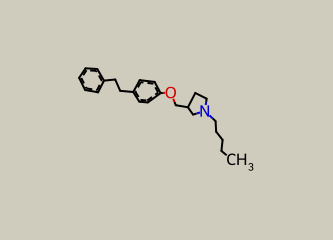 CCCCCN1CCC(COc2ccc(CCc3ccccc3)cc2)C1